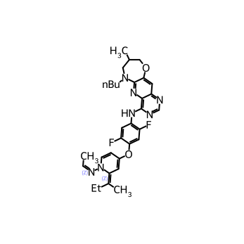 C/C=N\N1C=CC(Oc2cc(F)c(Nc3ncnc4cc5c(nc34)N(CCCC)CC(C)CO5)cc2F)=C/C1=C(\C)CC